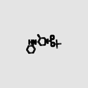 C[C@H]1CN(C(=O)OC(C)(C)C)CC[C@@H]1NC1CCCCC1